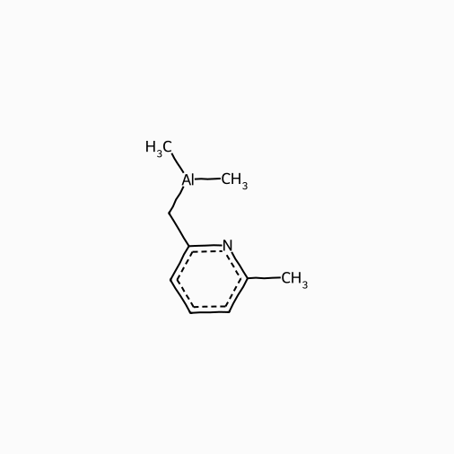 Cc1cccc([CH2][Al]([CH3])[CH3])n1